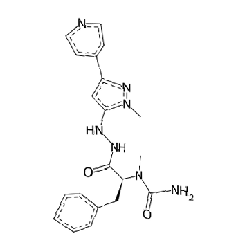 CN(C(N)=O)[C@@H](Cc1ccccc1)C(=O)NNc1cc(-c2ccncc2)nn1C